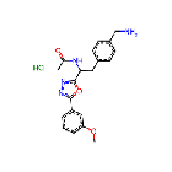 COc1cccc(-c2nnc(C(Cc3ccc(CN)cc3)NC(C)=O)o2)c1.Cl